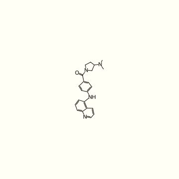 CN(C)C1CCN(C(=O)c2ccc(Nc3cccc4ncccc34)cc2)C1